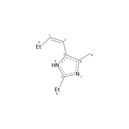 CC/C=C\c1[nH]c(CC)nc1C